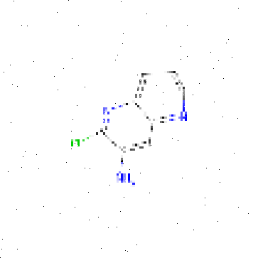 Nc1cc2ncccc2nc1Cl